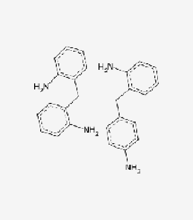 Nc1ccc(Cc2ccccc2N)cc1.Nc1ccccc1Cc1ccccc1N